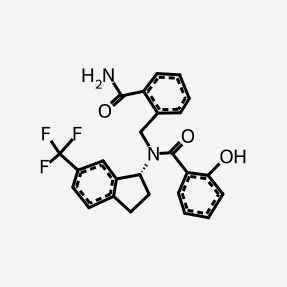 NC(=O)c1ccccc1CN(C(=O)c1ccccc1O)[C@@H]1CCc2ccc(C(F)(F)F)cc21